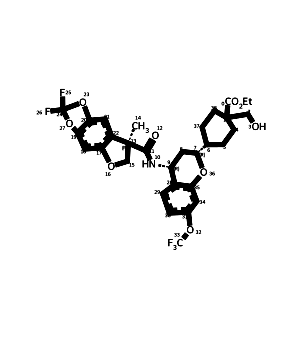 CCOC(=O)C1(CO)CCC([C@H]2C[C@@H](NC(=O)[C@@]3(C)COc4cc5c(cc43)OC(F)(F)O5)c3ccc(OC(F)(F)F)cc3O2)CC1